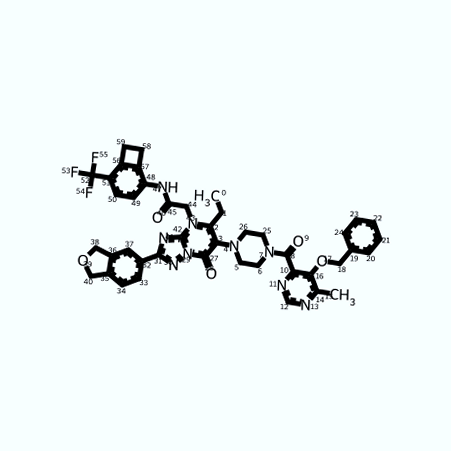 CCc1c(N2CCN(C(=O)c3ncnc(C)c3OCc3ccccc3)CC2)c(=O)n2nc(-c3ccc4c(c3)COC4)nc2n1CC(=O)Nc1ccc(C(F)(F)F)c2c1CC2